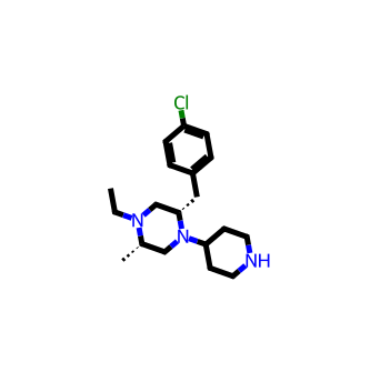 CCN1C[C@H](Cc2ccc(Cl)cc2)N(C2CCNCC2)C[C@@H]1C